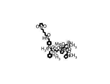 CCC(C)C(C(CC(=O)N1CCC[C@H]1C(OC)C(C)C(=O)N[C@@H](Cc1ccccc1)C(=O)N(C)c1ccc(CNC(=O)CCCCCN2C(=O)C=CC2=O)cc1)OC)N(C)C(=O)CNC(=O)C1C2CCC(C2)N1C